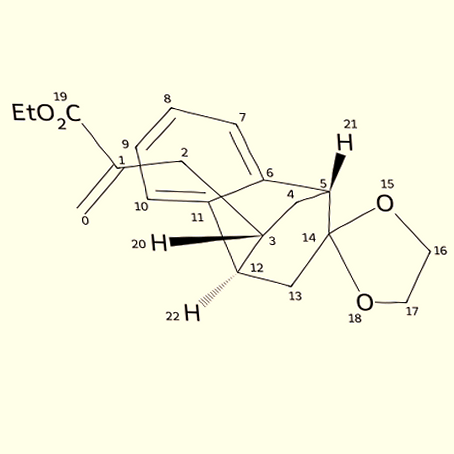 C=C(C[C@@H]1C[C@@H]2c3ccccc3[C@@H]1CC21OCCO1)C(=O)OCC